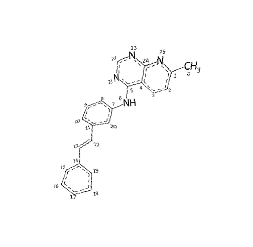 Cc1ccc2c(Nc3cccc(C=Cc4ccccc4)c3)ncnc2n1